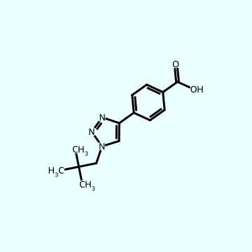 CC(C)(C)Cn1cc(-c2ccc(C(=O)O)cc2)nn1